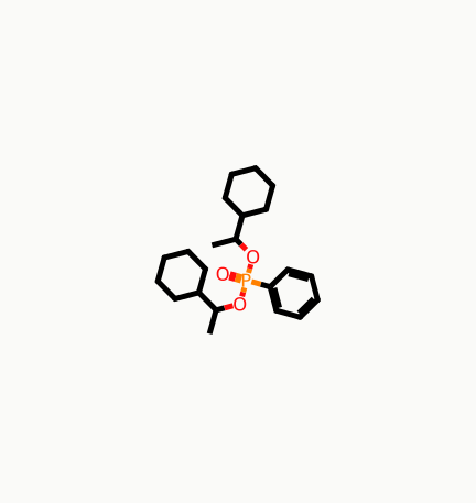 CC(OP(=O)(OC(C)C1CCCCC1)c1ccccc1)C1CCCCC1